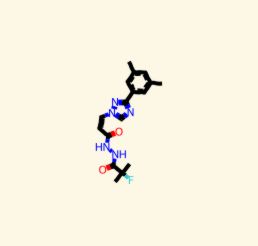 Cc1cc(C)cc(-c2ncn(/C=C\C(=O)NNC(=O)C(C)(C)F)n2)c1